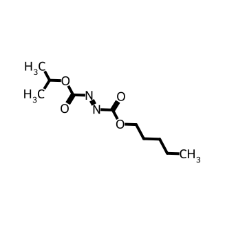 CCCCCOC(=O)N=NC(=O)OC(C)C